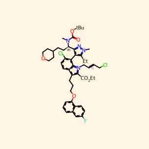 CCOC(=O)c1c(CCCOc2cccc3cc(F)ccc23)c2ccc(Cl)c(-c3c([C@@H](CCC4CCOCC4)N(C)C(=O)OC(C)(C)C)nn(C)c3CC)c2n1C/C=C/CCl